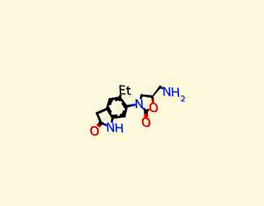 CCc1cc2c(cc1N1C[C@@H](CN)OC1=O)NC(=O)C2